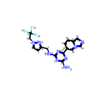 Nc1nc(NCc2ccn(CC(F)(F)F)n2)nc(-c2ccc3cncn3c2)n1